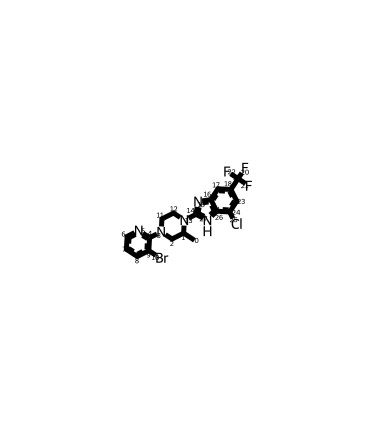 CC1CN(c2ncccc2Br)CCN1c1nc2cc(C(F)(F)F)cc(Cl)c2[nH]1